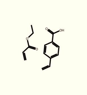 C=CC(=O)OCC.C=Cc1ccc(C(=O)O)cc1